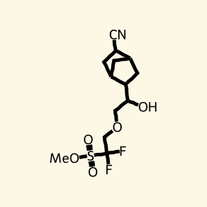 COS(=O)(=O)C(F)(F)COCC(O)C1CC2CC1CC2C#N